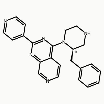 c1ccc(C[C@@H]2CNCCN2c2nc(-c3ccncc3)nc3cnccc23)cc1